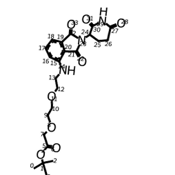 CC(C)(C)OC(=O)COCCOCCNc1cccc2c1C(=O)N(C1CCC(=O)NC1=O)C2=O